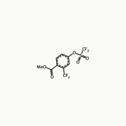 COC(=O)c1ccc(OS(=O)(=O)C(F)(F)F)cc1C(F)(F)F